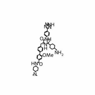 COc1cc(C(=O)NC2CCC(N(C)C)CC2)ccc1-c1ccc(C[C@H](NC(=O)C2CCC(CN)CC2)C(=O)Nc2ccc(-c3nn[nH]n3)cc2)cc1